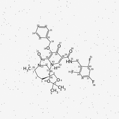 C[C@H]1CC[C@]2(COC(C)(C)O2)[C@H]2CN1C(=O)c1c(OCc3ccccc3)c(=O)c(C(=O)NCc3c(F)cc(F)cc3F)cn12